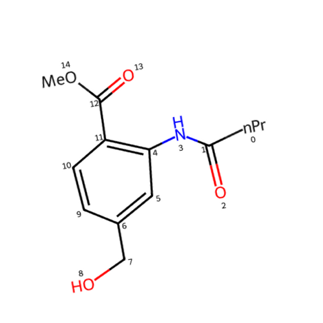 CCCC(=O)Nc1cc(CO)ccc1C(=O)OC